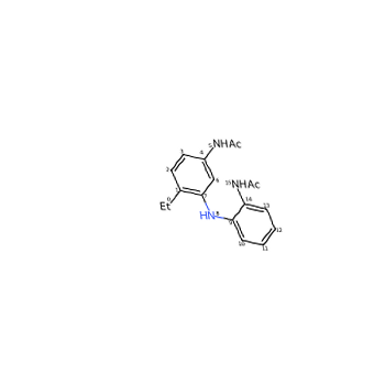 CCc1ccc(NC(C)=O)cc1Nc1ccccc1NC(C)=O